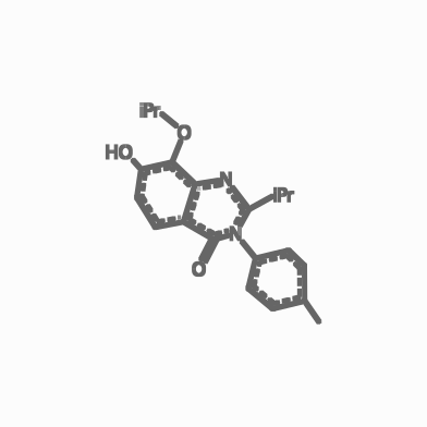 Cc1ccc(-n2c(C(C)C)nc3c(OC(C)C)c(O)ccc3c2=O)cc1